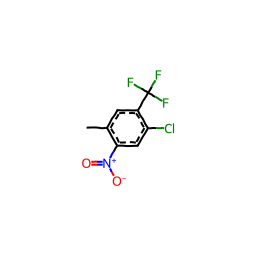 Cc1cc(C(F)(F)F)c(Cl)cc1[N+](=O)[O-]